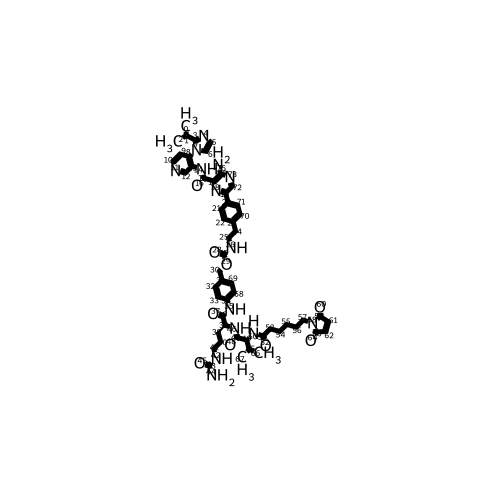 CC(C)c1nccn1-c1ccncc1NC(=O)c1nc(-c2ccc(CCNC(=O)OCc3ccc(NC(=O)[C@H](CCCNC(N)=O)NC(=O)[C@@H](NC(=O)CCCCCN4C(=O)C=CC4=O)C(C)C)cc3)cc2)cnc1N